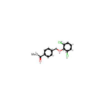 COC(=O)c1ccc(COc2c(Cl)cccc2Cl)cc1